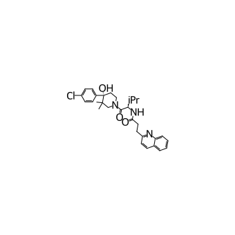 CC(C)[C@@H](NC(=O)CCc1ccc2ccccc2n1)C(=O)N1CC[C@](O)(c2ccc(Cl)cc2)C(C)(C)C1